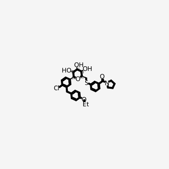 CCOc1ccc(Cc2cc([C@@H]3O[C@H](CSc4cccc(C(=O)N5CCCC5)c4)[C@H](O)[C@@H](O)[C@H]3O)ccc2Cl)cc1